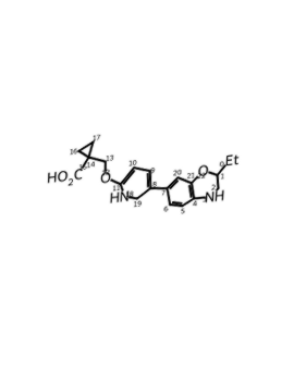 CCC1CNc2ccc(C3=CC=C(OCC4(C(=O)O)CC4)NC3)cc2O1